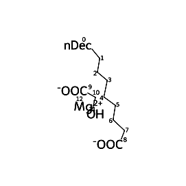 CCCCCCCCCCCCCCCCCC(=O)[O-].O=C([O-])CO.[Mg+2]